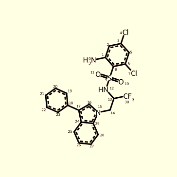 Nc1cc(Cl)cc(Cl)c1S(=O)(=O)NC(Cn1cc(-c2ccccc2)c2ccccc21)C(F)(F)F